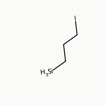 [SiH3]CCCI